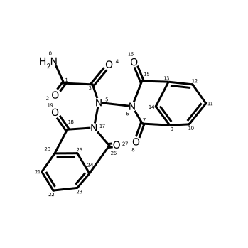 NC(=O)C(=O)N(N1C(=O)c2cccc(c2)C1=O)N1C(=O)c2cccc(c2)C1=O